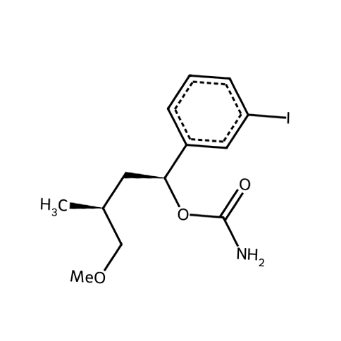 COC[C@@H](C)C[C@H](OC(N)=O)c1cccc(I)c1